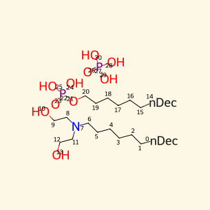 CCCCCCCCCCCCCCCCN(CCO)CCO.CCCCCCCCCCCCCCCCOP(=O)(O)O.O=P(O)(O)O